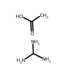 CC(=O)O.NC(N)N